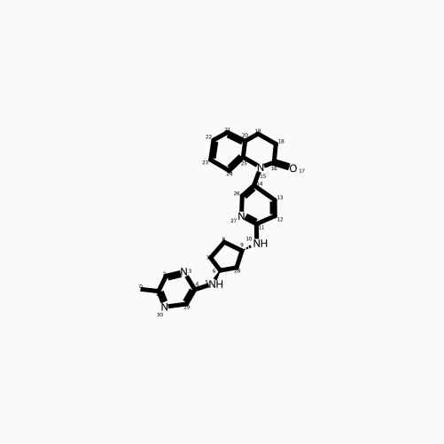 Cc1cnc(N[C@H]2CC[C@H](Nc3ccc(N4C(=O)CCc5ccccc54)cn3)C2)cn1